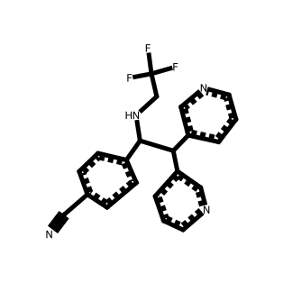 N#Cc1ccc(C(NCC(F)(F)F)C(c2cccnc2)c2cccnc2)cc1